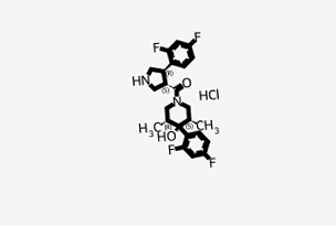 C[C@@H]1CN(C(=O)[C@@H]2CNC[C@H]2c2ccc(F)cc2F)C[C@H](C)[C@]1(O)c1ccc(F)cc1F.Cl